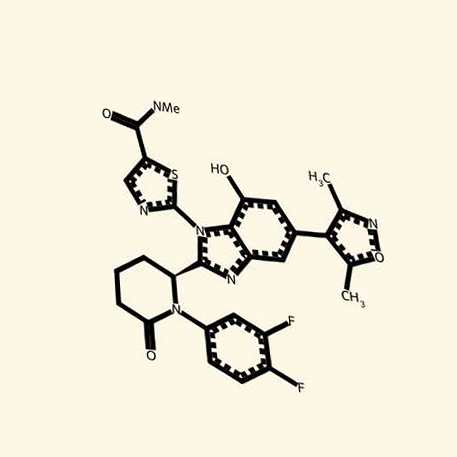 CNC(=O)c1cnc(-n2c([C@@H]3CCCC(=O)N3c3ccc(F)c(F)c3)nc3cc(-c4c(C)noc4C)cc(O)c32)s1